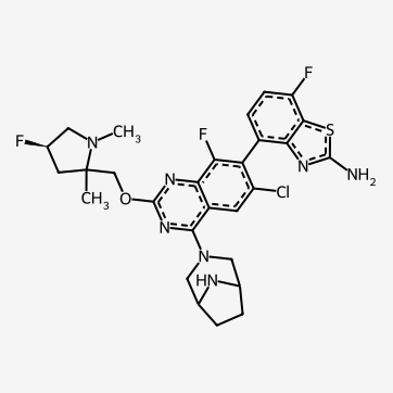 CN1C[C@H](F)CC1(C)COc1nc(N2CC3CCC(C2)N3)c2cc(Cl)c(-c3ccc(F)c4sc(N)nc34)c(F)c2n1